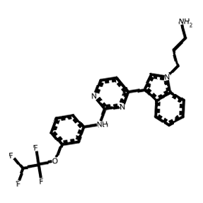 NCCCn1cc(-c2ccnc(Nc3cccc(OC(F)(F)C(F)F)c3)n2)c2ccccc21